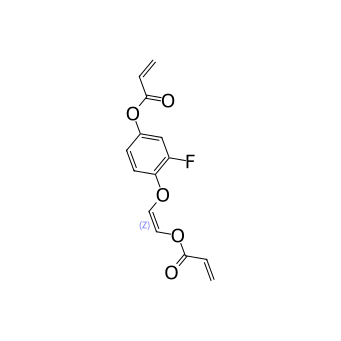 C=CC(=O)O/C=C\Oc1ccc(OC(=O)C=C)cc1F